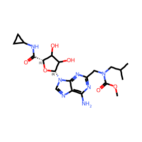 COC(=O)N(Cc1nc(N)c2ncn([C@@H]3O[C@H](C(=O)NC4CC4)C(O)C3O)c2n1)CC(C)C